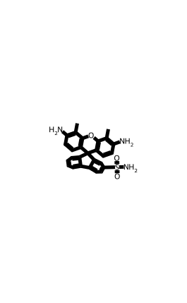 Cc1c(N)ccc2c1Oc1c(ccc(N)c1C)C21c2ccccc2-c2ccc(S(N)(=O)=O)cc21